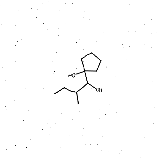 CCC(C)C(O)C1(O)CCCC1